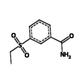 CCS(=O)(=O)c1cccc(C(N)=O)c1